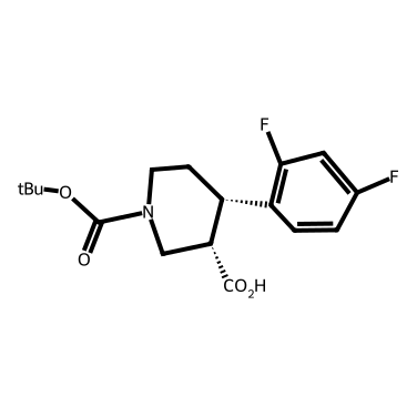 CC(C)(C)OC(=O)N1CC[C@H](c2ccc(F)cc2F)[C@H](C(=O)O)C1